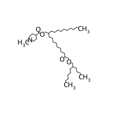 CCCCCCCCCCC(CCCCCCCCC(=O)COCC(CCCC)CCCCCC)COC(=O)C1CCN(C)CC1